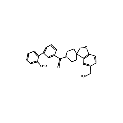 NCc1ccc2c(c1)C1(CCN(C(=O)c3cccc(-c4ccccc4C=O)c3)CC1)CO2